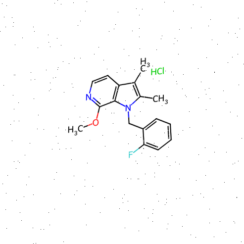 COc1nccc2c(C)c(C)n(Cc3ccccc3F)c12.Cl